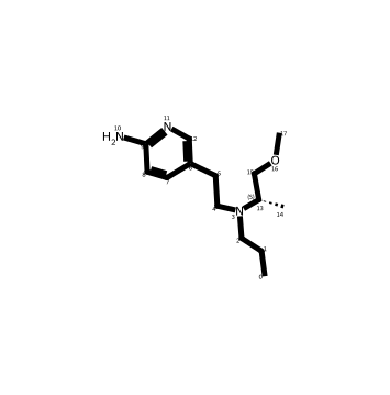 CCCN(CCc1ccc(N)nc1)[C@@H](C)COC